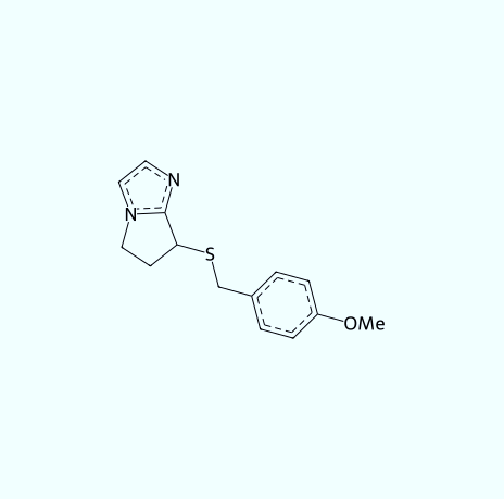 COc1ccc(CSC2CCn3ccnc32)cc1